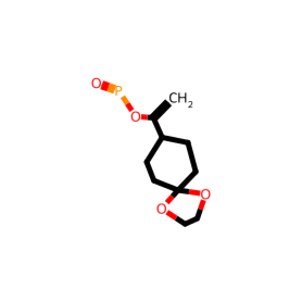 C=C(OP=O)C1CCC2(CC1)OCCO2